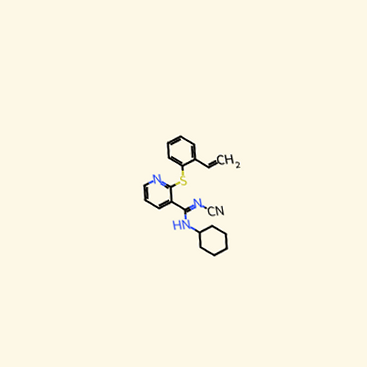 C=Cc1ccccc1Sc1ncccc1C(=NC#N)NC1CCCCC1